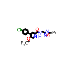 CC(C)c1nc(CNC(=O)c2cc(-c3ccc(Cl)cc3)c(OCC(F)(F)F)cn2)no1